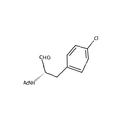 CC(=O)N[C@H](C=O)Cc1ccc(Cl)cc1